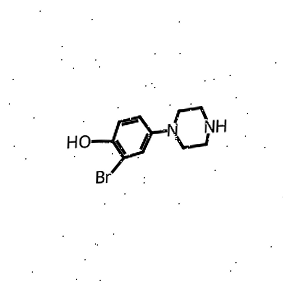 Oc1ccc(N2CCNCC2)cc1Br